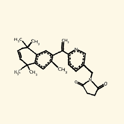 C=C(c1ccc(CN2C(=O)CCC2=O)cn1)c1cc2c(cc1C)C(C)(C)C=CC2(C)C